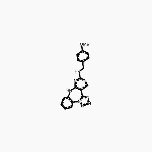 COc1ccc(CNc2ncc3c(n2)Nc2ccccc2-n2nnnc2-3)cc1